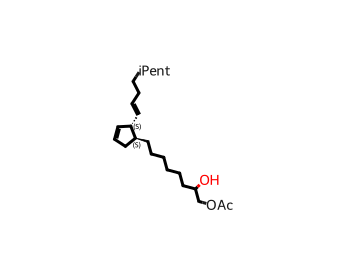 CCCC(C)CCC=C[C@H]1C=CC[C@@H]1CCCCCCC(O)COC(C)=O